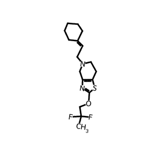 CC(F)(F)COc1nc2c(s1)CCN(CC=C1CCCCC1)C2